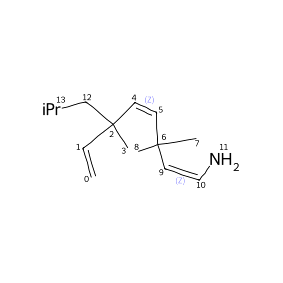 C=CC(C)(/C=C\C(C)(C)/C=C\N)CC(C)C